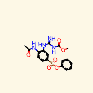 COC(=O)NC(=N)Nc1cc(S(=O)(=O)Oc2ccccc2)ccc1NC(C)=O